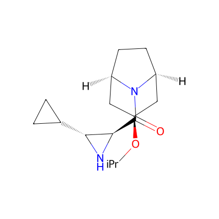 CC(C)O[C@H]1C[C@H]2CC[C@@H](C1)N2C(=O)[C@H]1N[C@@H]1C1CC1